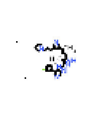 C=c1c(-c2nc3c(-c4cccc(F)c4)cncc3[nH]2)n[nH]/c1=C/C=C(\C)c1cncc(CCCN2CCCC2)c1